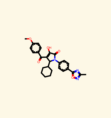 COc1ccc(C(=O)C2=C(O)C(=O)N(c3ccc(-c4nc(C)no4)cc3)C2C2CCCCC2)cc1